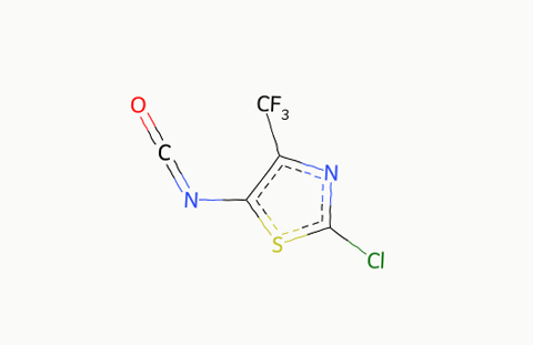 O=C=Nc1sc(Cl)nc1C(F)(F)F